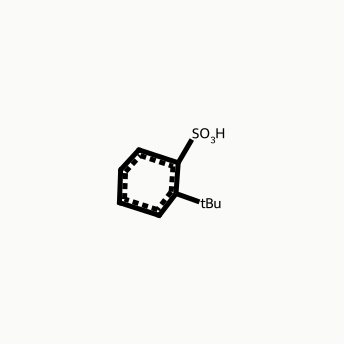 CC(C)(C)c1ccccc1S(=O)(=O)O